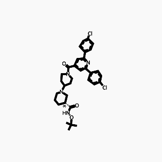 CC(C)(C)ONC(=O)[C@@H]1CCCN(C2CCN(C(=O)c3cc(-c4ccc(Cl)cc4)nc(-c4ccc(Cl)cc4)c3)CC2)C1